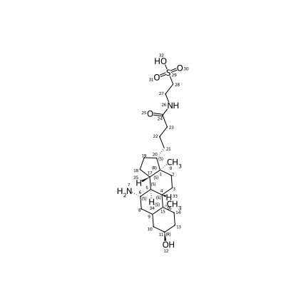 C[C@]12CC[C@H]3[C@@H]([C@@H](N)CC4C[C@H](O)CC[C@@]43C)[C@@H]1CC[C@@H]2CCCC(=O)NCCS(=O)(=O)O